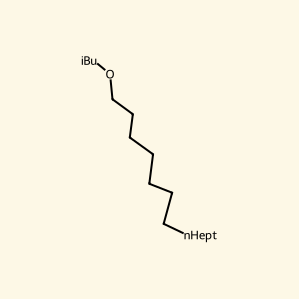 CCCCCCCCCCCCCCOC(C)CC